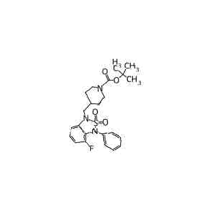 CC(C)(C)OC(=O)N1CCC(CN2c3cccc(F)c3N(c3ccccc3)S2(=O)=O)CC1